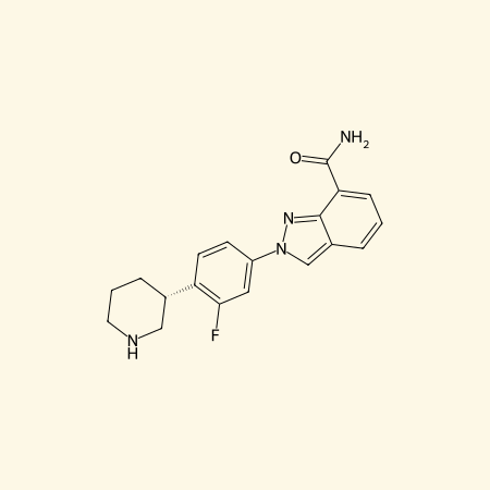 NC(=O)c1cccc2cn(-c3ccc([C@H]4CCCNC4)c(F)c3)nc12